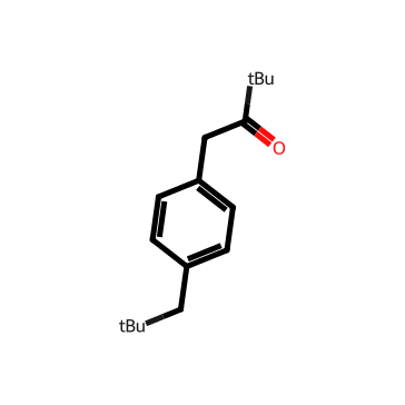 CC(C)(C)Cc1ccc(CC(=O)C(C)(C)C)cc1